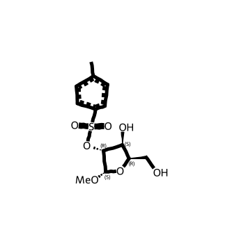 CO[C@H]1O[C@H](CO)[C@H](O)[C@H]1OS(=O)(=O)c1ccc(C)cc1